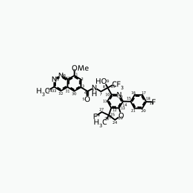 COc1cc(C(=O)NCC(O)(c2cc3c(c(-c4ccc(F)cc4)n2)OC[C@]3(C)CF)C(F)(F)F)cc2cc(C)nnc12